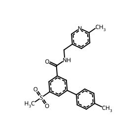 Cc1ccc(-c2cc(C(=O)NCc3ccc(C)nc3)cc(S(C)(=O)=O)c2)cc1